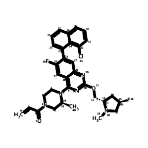 C=CC(=O)N1CCN(c2nc(OC[C@@H]3C[C@@H](F)CN3C)nc3cc(-c4cccc5cccc(Cl)c45)c(F)cc23)[C@@H](C)C1